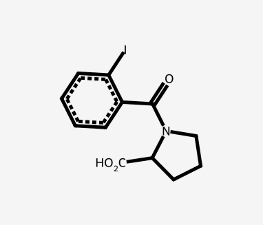 O=C(O)C1CCCN1C(=O)c1ccccc1I